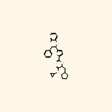 Cc1ncccc1NC(Cc1ccccc1)c1ccc(C(=O)NC(CC2CCCC2)C(=O)NC2CC2)s1